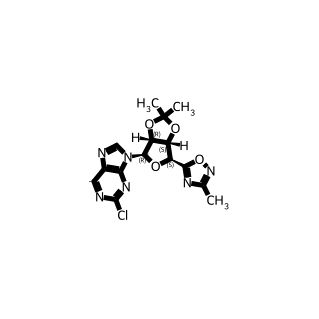 Cc1noc([C@H]2O[C@@H](n3cnc4[c]nc(Cl)nc43)[C@@H]3OC(C)(C)O[C@@H]32)n1